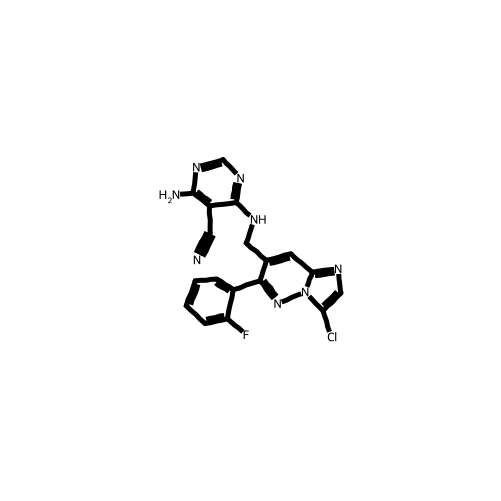 N#Cc1c(N)ncnc1NCc1cc2ncc(Cl)n2nc1-c1ccccc1F